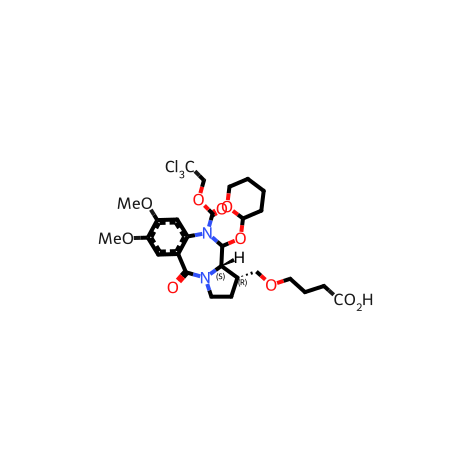 COc1cc2c(cc1OC)N(C(=O)OCC(Cl)(Cl)Cl)C(OC1CCCCO1)[C@@H]1[C@H](COCCCC(=O)O)CCN1C2=O